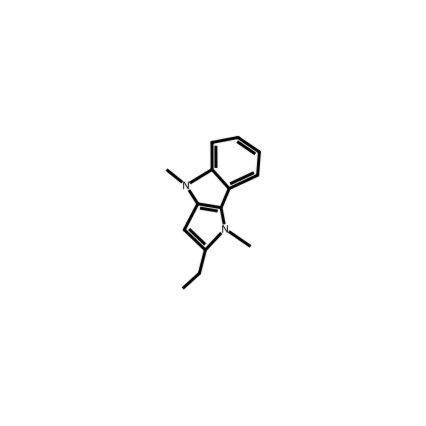 CCc1cc2c(c3ccccc3n2C)n1C